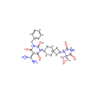 NC(N)=C1C(=O)N(Cc2ccccc2)C(=O)N(C2CCC3(CC2)CC(N2C(=O)NC(=O)C24COC4)C3)C1=O